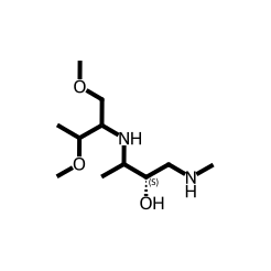 CNC[C@H](O)C(C)NC(COC)C(C)OC